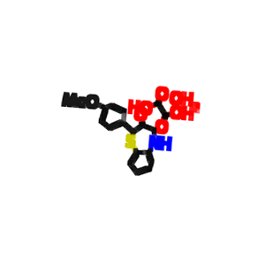 COc1ccc(C2Sc3ccccc3NCC2=O)cc1.O.O=C(O)C(=O)O